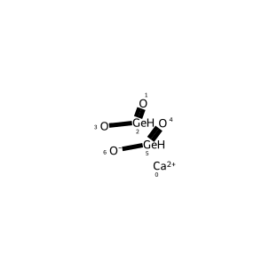 [Ca+2].[O]=[GeH][O-].[O]=[GeH][O-]